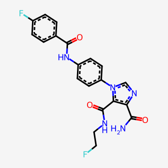 NC(=O)c1ncn(-c2ccc(NC(=O)c3ccc(F)cc3)cc2)c1C(=O)NCCF